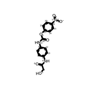 O=C(CO)Nc1ccc(NC(=O)Oc2ccc([N+](=O)[O-])cc2)cc1